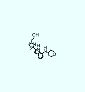 OCC[C@@H]1CSC(c2cc3cccc(NC4CCOCC4)c3[nH]2)=N1